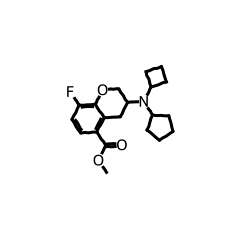 COC(=O)c1ccc(F)c2c1CC(N(C1CCCC1)C1CCC1)CO2